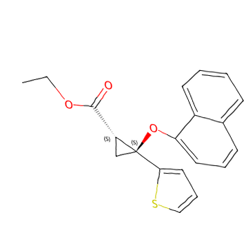 CCOC(=O)[C@H]1C[C@@]1(Oc1cccc2ccccc12)c1cccs1